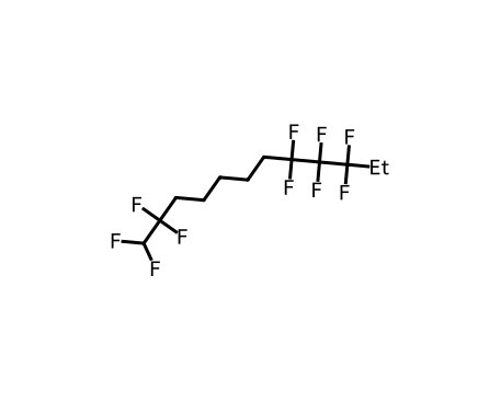 CCC(F)(F)C(F)(F)C(F)(F)CCCCCC(F)(F)C(F)F